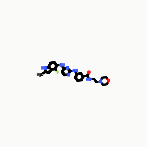 Cc1cc2c(F)c(Nc3ccnc(Nc4cccc(C(=O)NCCN5CCOCC5)c4)n3)ccc2[nH]1